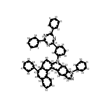 c1ccc(-c2nc(-c3ccccc3)nc(-c3cccc(-n4c5cc6c(cnn6-c6ccccc6)cc5c5c6c(ccc54)c(-c4ccccc4)cc4ccccc46)c3)n2)cc1